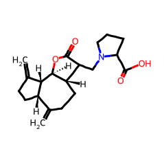 C=C1CC[C@H]2C(=C)CC[C@H]3C(CN4CCCC4C(=O)O)C(=O)O[C@@H]3[C@@H]12